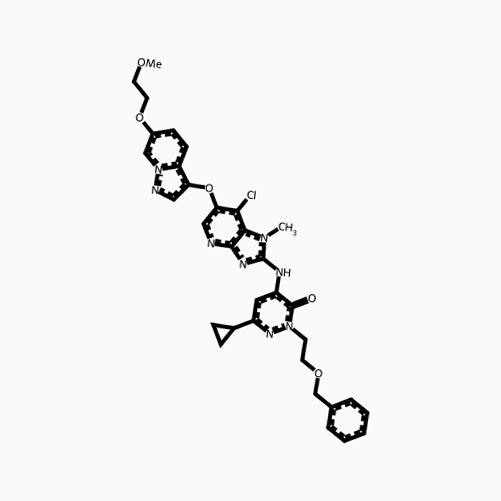 COCCOc1ccc2c(Oc3cnc4nc(Nc5cc(C6CC6)nn(CCOCc6ccccc6)c5=O)n(C)c4c3Cl)cnn2c1